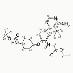 CCOC(=O)CN(C)c1c(OC2CCC(NC(=O)OC(C)(C)C)CC2)ccc2c1CC(C)(C)c1c(N)ncnc1-2